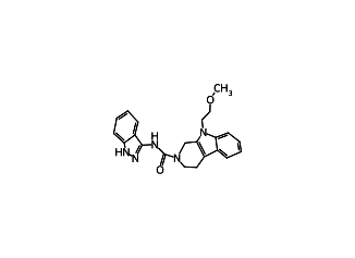 COCCn1c2c(c3ccccc31)CCN(C(=O)Nc1n[nH]c3ccccc13)C2